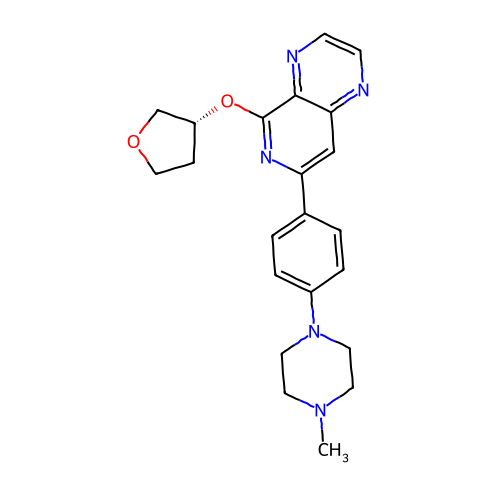 CN1CCN(c2ccc(-c3cc4nccnc4c(O[C@@H]4CCOC4)n3)cc2)CC1